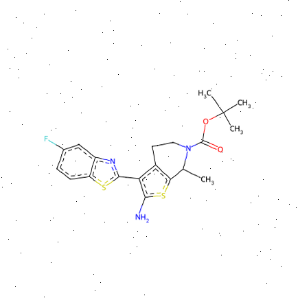 CC1c2sc(N)c(-c3nc4cc(F)ccc4s3)c2CCN1C(=O)OC(C)(C)C